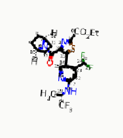 CCOC(=O)c1nc(C(=O)N2[C@H]3CC[C@@H]2CC3)c(-c2cnc(N[C@@H](C)C(F)(F)F)cc2C(F)F)s1